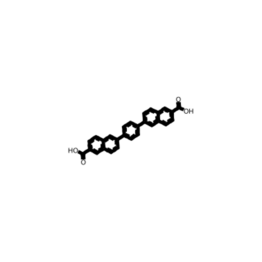 O=C(O)c1ccc2cc(-c3ccc(-c4ccc5cc(C(=O)O)ccc5c4)cc3)ccc2c1